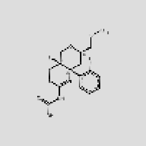 COC[C@H]1C[C@]2(c3ccccc3F)N=C(NC(=O)O)SC[C@@H]2CO1